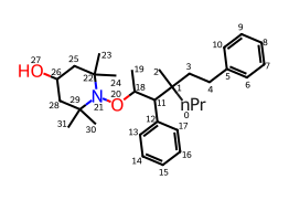 CCCC(C)(CCc1ccccc1)C(c1ccccc1)C(C)ON1C(C)(C)CC(O)CC1(C)C